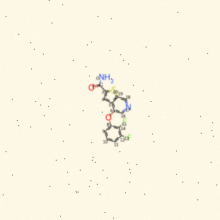 NC(=O)c1cc2c(Oc3cccc(F)c3F)cncc2s1